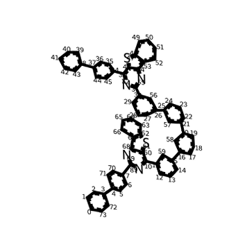 c1ccc(-c2ccc(-c3nc(-c4cccc(-c5cccc(-c6cccc(-c7cccc(-c8nc(-c9ccc(-c%10ccccc%10)cc9)c9sc%10ccccc%10c9n8)c7)c6)c5)c4)c4sc5ccccc5c4n3)cc2)cc1